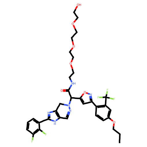 CCCOc1ccc(-c2cc(C(C(=O)NCCOCCOCCOCCO)N3Cc4nc(-c5cccc(F)c5F)[nH]c4C=N3)on2)c(C(F)(F)F)c1